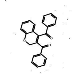 O=C(C1=C(C(=O)c2ccccc2)c2ccccc2OC1)c1ccccc1